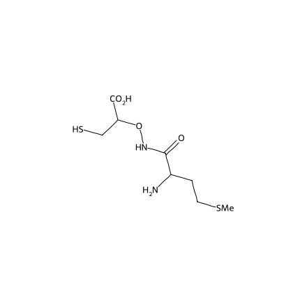 CSCCC(N)C(=O)NOC(CS)C(=O)O